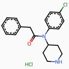 Cl.O=C(Cc1ccccc1)N(c1ccc(Cl)cc1)C1CCNCC1